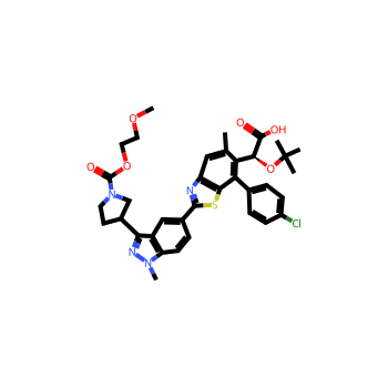 COCCOC(=O)N1CCC(c2nn(C)c3ccc(-c4nc5cc(C)c([C@H](OC(C)(C)C)C(=O)O)c(-c6ccc(Cl)cc6)c5s4)cc23)C1